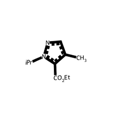 CCOC(=O)c1c(C)cnn1C(C)C